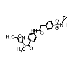 Cc1cc(N(C)C(=O)c2ccc(NC(=O)Cc3ccc(S(=O)(=O)NC4CC4)cc3)cc2)no1